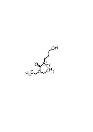 CCN(CC)C(=O)[S+]([O-])CCCO